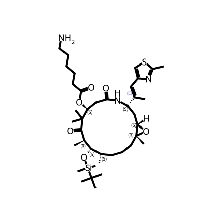 C/C(=C\c1csc(C)n1)[C@@H]1C[C@@H]2O[C@]2(C)CCC[C@H](C)[C@H](O[Si](C)(C)C(C)(C)C)[C@@H](C)C(=O)C(C)(C)[C@@H](OC(=O)CCCCCN)CC(=O)N1